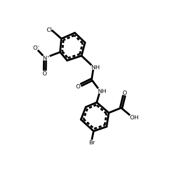 O=C(Nc1ccc(Cl)c([N+](=O)[O-])c1)Nc1ccc(Br)cc1C(=O)O